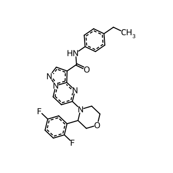 CCc1ccc(NC(=O)c2cnn3ccc(N4CCOCC4c4cc(F)ccc4F)nc23)cc1